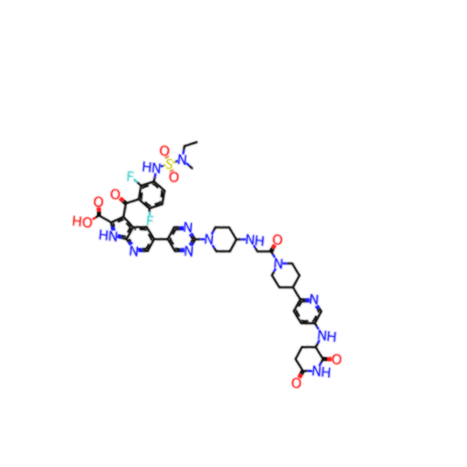 CCN(C)S(=O)(=O)Nc1ccc(F)c(C(=O)c2c(C(=O)O)[nH]c3ncc(-c4cnc(N5CCC(NCC(=O)N6CCC(c7ccc(NC8CCC(=O)NC8=O)cn7)CC6)CC5)nc4)cc23)c1F